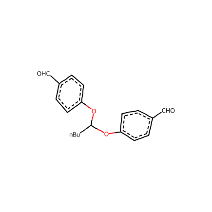 CCCCC(Oc1ccc(C=O)cc1)Oc1ccc(C=O)cc1